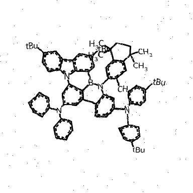 Cc1cc2c(cc1N1B3c4c(cc(N(c5ccccc5)c5ccccc5)cc4-n4c5ccc(C(C)(C)C)cc5c5cc(C(C)(C)C)cc3c54)-c3ccc(N(c4ccc(C(C)(C)C)cc4)c4ccc(C(C)(C)C)cc4)cc31)C(C)(C)CCC2(C)C